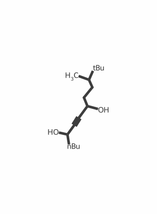 CCCCC(O)C#CC(O)CCC(C)C(C)(C)C